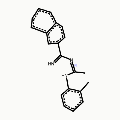 C/C(=N/C(=N)c1ccc2ccccc2c1)Nc1ccccc1C